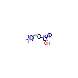 CN(C)c1ncc(CN2CCC(c3cc(O)nc(N4CCCC4)n3)CC2)cn1